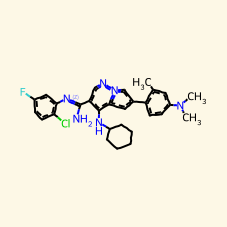 Cc1cc(N(C)C)ccc1-c1cc2c(NC3CCCCC3)c(/C(N)=N/c3cc(F)ccc3Cl)cnn2c1